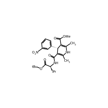 COC(=O)C1=C(C)NC(C)=C(C(=O)N[C@H](C(=O)OC(C)(C)C)C(C)C)[C@@H]1c1cccc([N+](=O)[O-])c1